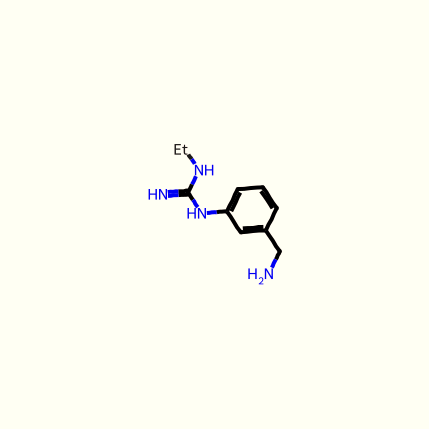 CCNC(=N)Nc1cccc(CN)c1